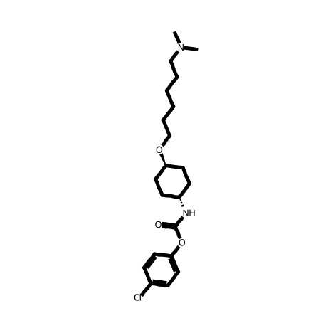 CN(C)CCCCCCO[C@H]1CC[C@H](NC(=O)Oc2ccc(Cl)cc2)CC1